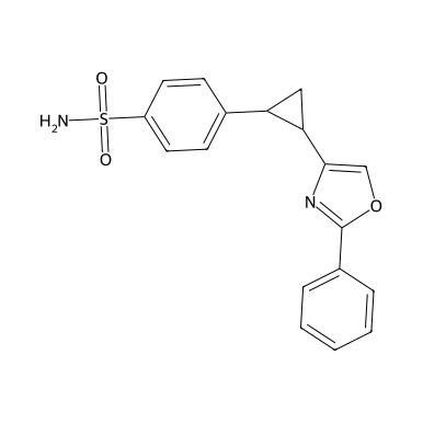 NS(=O)(=O)c1ccc(C2CC2c2coc(-c3ccccc3)n2)cc1